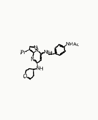 CC(=O)Nc1ccc(CNc2cc(NC3CCOCC3)nc3c(C(C)C)cnn23)cc1